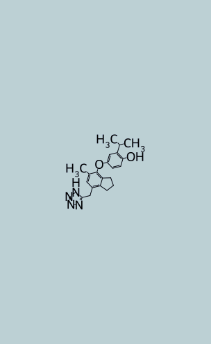 Cc1cc(Cc2nnn[nH]2)c2c(c1Oc1ccc(O)c(C(C)C)c1)CCC2